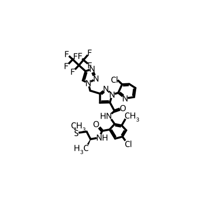 CSC[C@H](C)NC(=O)c1cc(Cl)cc(C)c1NC(=O)c1cc(Cn2cc(C(F)(C(F)(F)F)C(F)(F)F)nn2)nn1-c1ncccc1Cl